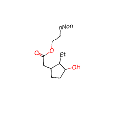 CCCCCCCCCCCOC(=O)CC1CCC(O)C1CC